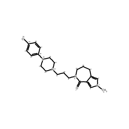 Cn1cc2c(c1)C(=O)N(CCCN1CCN(c3ccc(Cl)cc3)CC1)CCC2